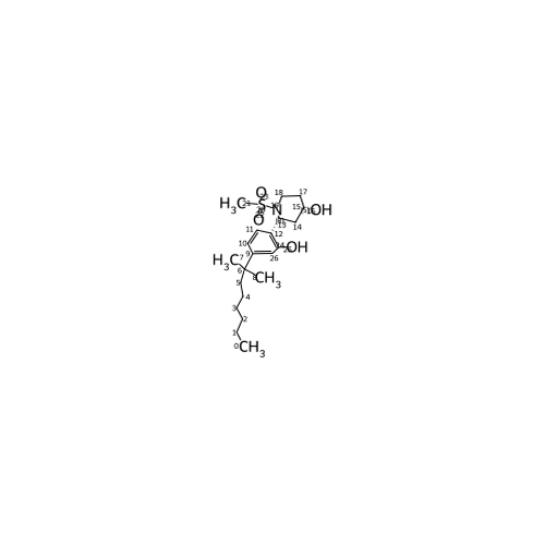 CCCCCCC(C)(C)c1ccc([C@H]2C[C@@H](O)CCN2S(C)(=O)=O)c(O)c1